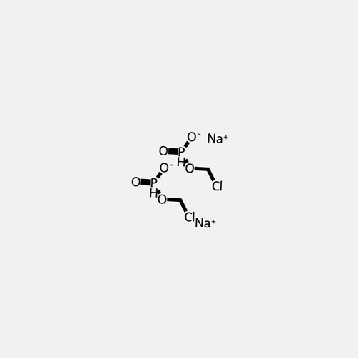 O=[PH]([O-])OCCl.O=[PH]([O-])OCCl.[Na+].[Na+]